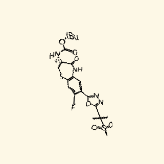 CC(C)(C)OC(=O)N[C@H]1CSc2cc(F)c(-c3nnc(C(C)(C)S(C)(=O)=O)o3)cc2NC1=O